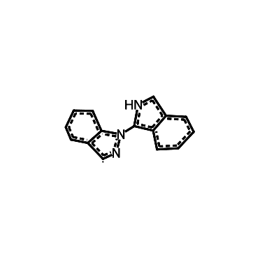 [c]1nn(-c2[nH]cc3ccccc23)c2ccccc12